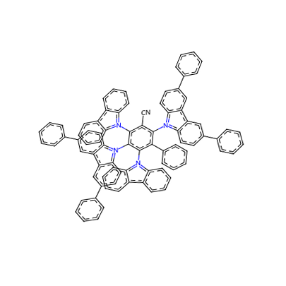 N#Cc1c(-n2c3ccc(-c4ccccc4)cc3c3cc(-c4ccccc4)ccc32)c(-c2ccccc2)c(-n2c3ccccc3c3ccccc32)c(-n2c3ccc(-c4ccccc4)cc3c3cc(-c4ccccc4)ccc32)c1-n1c2ccccc2c2ccccc21